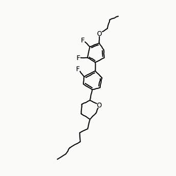 CCCCCCC1CCC(c2ccc(-c3ccc(OCCC)c(F)c3F)c(F)c2)OC1